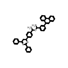 NC(OC(N)c1cccc(-c2cc3ccccc3c3ccccc23)c1)c1ccc(C2CC(c3ccccc3)=NC(c3ccccc3)=N2)cc1